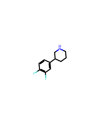 Fc1ccc(C2CCCNC2)cc1F